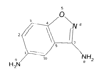 Nc1ccc2onc(N)c2c1